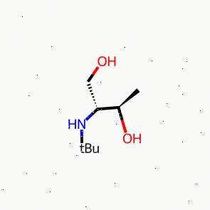 C[C@@H](O)[C@@H](CO)NC(C)(C)C